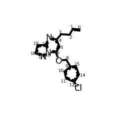 C=CCCc1cc(OCc2ccc(Cl)cc2)n2nccc2n1